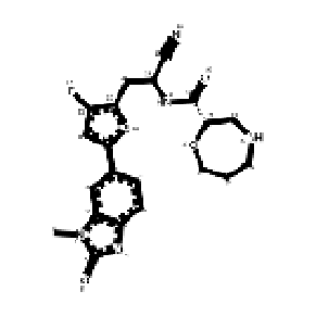 Cn1c(=O)oc2ccc(-c3cc(F)c(CC(C#N)NC(=O)[C@@H]4CNCCCO4)s3)cc21